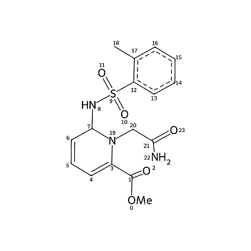 COC(=O)C1=CC=CC(NS(=O)(=O)c2ccccc2C)N1CC(N)=O